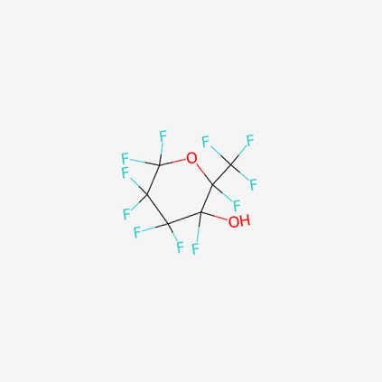 OC1(F)C(F)(F)C(F)(F)C(F)(F)OC1(F)C(F)(F)F